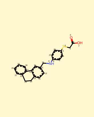 O=C(O)CSc1ccc(NCc2ccc3c(c2)-c2ccccc2CC3)cc1